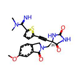 COc1ccc2c(c1)C(=O)N(C[C@@]1(C#Cc3ccc(C(=N)N(C)C)s3)NC(=O)NC1=O)C2